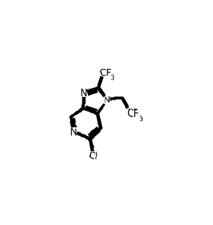 FC(F)(F)Cn1c(C(F)(F)F)nc2cnc(Cl)cc21